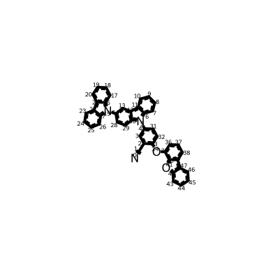 N#Cc1cc(-n2c3ccccc3c3cc(-n4c5ccccc5c5ccccc54)ccc32)ccc1Oc1cccc2c1oc1ccccc12